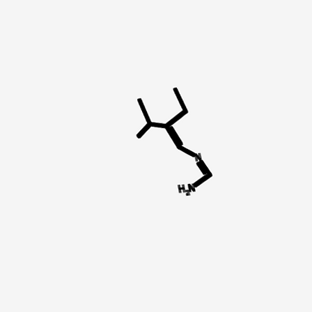 CC/C(=C\N=C/N)C(C)C